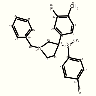 Cc1ccc([C@@]2([S+]([O-])c3ccc(F)cc3)CCN(Cc3ccccc3)C2)cc1F